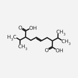 CC(C)C(CC=CCC(C(=O)O)C(C)C)C(=O)O